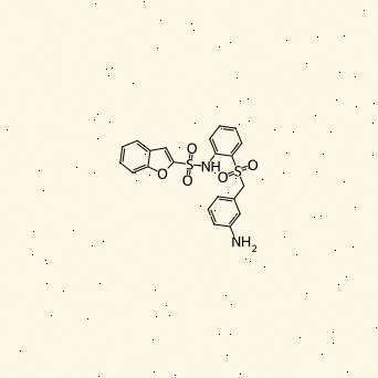 Nc1cccc(CS(=O)(=O)c2ccccc2NS(=O)(=O)c2cc3ccccc3o2)c1